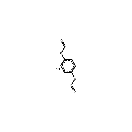 O=POc1ccc(OP=O)cc1.[NaH]